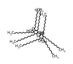 CCCCCCCCCCCCC1=C(CCCCCCCCCCCC)C(CCCCCCCCCCCC)(C(=O)O)C(CCCCCCCCCCCC)C(SC2=C(O)C(CCCCCCCCCCCC)=C(CCCCCCCCCCCC)C(CCCCCCCCCCCC)(C(=O)O)C2CCCCCCCCCCCC)=C1O